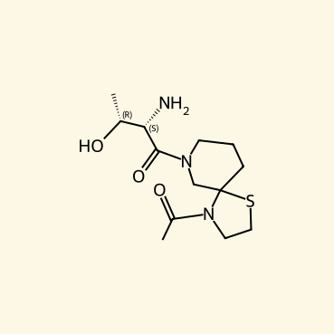 CC(=O)N1CCSC12CCCN(C(=O)[C@@H](N)[C@@H](C)O)C2